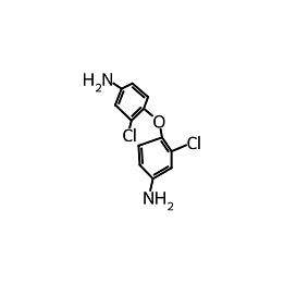 Nc1ccc(Oc2ccc(N)cc2Cl)c(Cl)c1